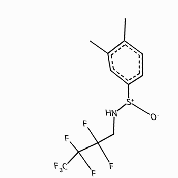 Cc1ccc([S+]([O-])NCC(F)(F)C(F)(F)C(F)(F)F)cc1C